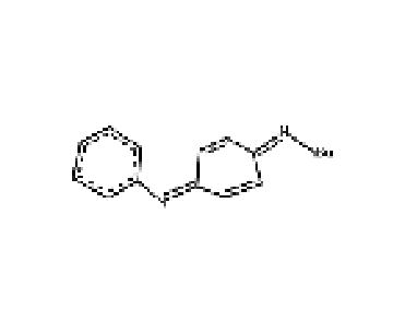 CCC(C)N=C1C=CC(=Nc2ccccc2)C=C1